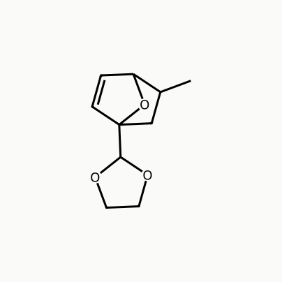 CC1CC2(C3OCCO3)C=CC1O2